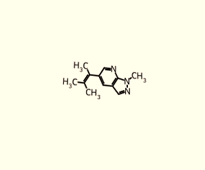 CC(C)=C(C)c1cnc2c(cnn2C)c1